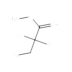 C=C(OC#N)C(C)(CC(C)CC)C(C)C